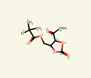 CCC(C)(C)C(=O)OCC1OC(=O)OC1C(=O)OC